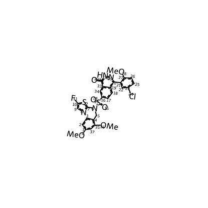 COc1ccc(CN(c2ncc(F)s2)S(=O)(=O)c2ccc3c(-c4cc(Cl)ccc4OC)n[nH]c(=O)c3c2)c(OC)c1